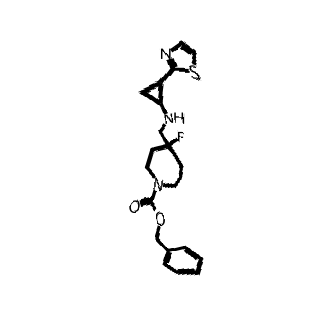 O=C(OCc1ccccc1)N1CCC(F)(CNC2CC2c2nccs2)CC1